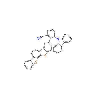 N#Cc1cccc(-n2c3ccccc3c3ccccc32)c1-c1ccc2sc3c(ccc4c5ccccc5sc43)c2c1